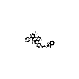 Cc1cc(N2CCOCC2)c(NC(=O)CN2CCN(CCSc3nc4ccccc4s3)CC2)c(N2CCOCC2)n1